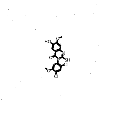 COc1cc2nc(S)n(-c3cc(OC)c(Cl)cc3Cl)c(=O)c2cc1O